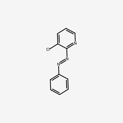 Clc1cccnc1N=Nc1ccccc1